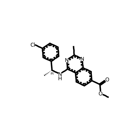 COC(=O)c1ccc2c(N[C@H](C)c3cccc(Cl)c3)nc(C)nc2c1